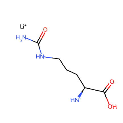 [Li+].[NH-][C@@H](CCCNC(N)=O)C(=O)O